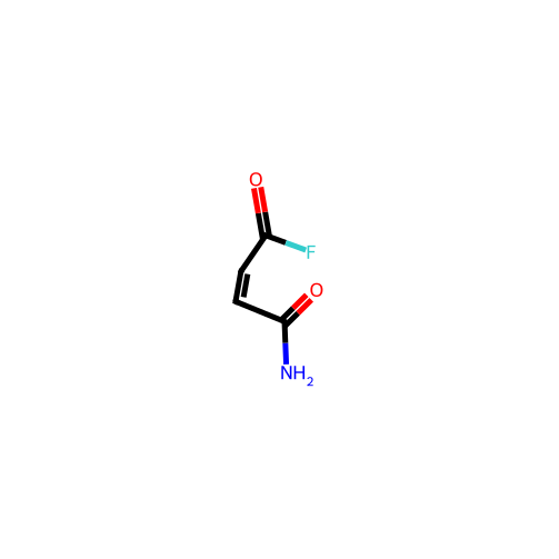 NC(=O)/C=C\C(=O)F